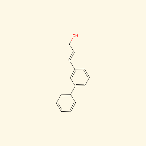 OCC=Cc1cccc(-c2ccccc2)c1